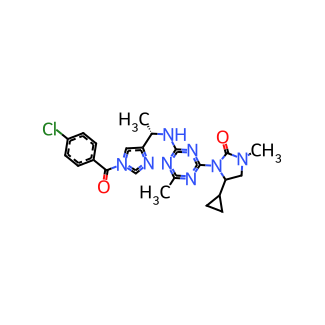 Cc1nc(N[C@@H](C)c2cn(C(=O)c3ccc(Cl)cc3)cn2)nc(N2C(=O)N(C)CC2C2CC2)n1